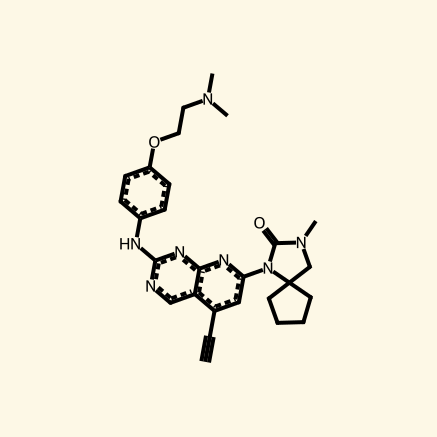 C#Cc1cc(N2C(=O)N(C)CC23CCCC3)nc2nc(Nc3ccc(OCCN(C)C)cc3)ncc12